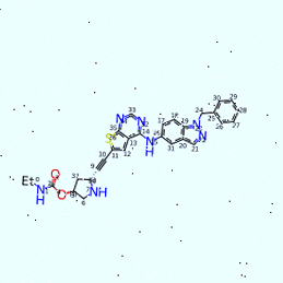 CCNC(=O)O[C@@H]1CN[C@@H](C#Cc2cc3c(Nc4ccc5c(cnn5Cc5ccccc5)c4)ncnc3s2)C1